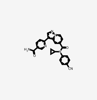 N#Cc1ccc(N(C(=O)c2ccn3ncc(-c4ccc(C(N)=O)cn4)c3c2)C2CC2)cc1